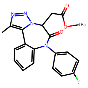 Cc1nnn2c1-c1ccccc1N(c1ccc(Cl)cc1)C(=O)C2CC(=O)OC(C)(C)C